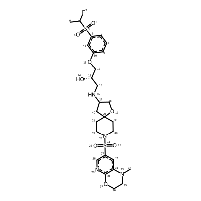 CC(F)S(=O)(=O)c1cccc(OC[C@@H](O)CNC2COC3(CCN(S(=O)(=O)c4cnc5c(c4)N(C)CCO5)CC3)C2)c1